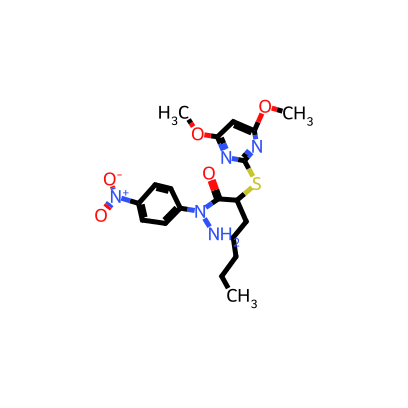 CCCCCC(Sc1nc(OC)cc(OC)n1)C(=O)N(N)c1ccc([N+](=O)[O-])cc1